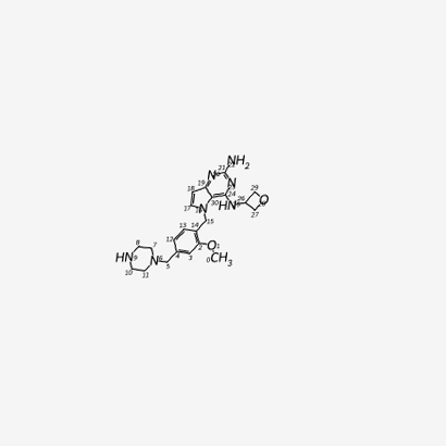 COc1cc(CN2CCNCC2)ccc1Cn1ccc2nc(N)nc(NC3COC3)c21